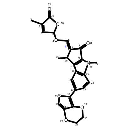 CC1=CC(O/C=C2/C(=O)c3c(c4cc(-c5scc6c5OCCO6)ccc4n3C)C2C)OC1=O